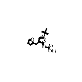 CC(C)(C)n1cc(Cc2ccco2)c(=NC(=O)O)s1